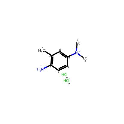 CCN(CC)c1ccc(N)c(C)c1.Cl.Cl